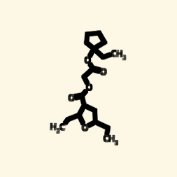 CCC1CC(C(=O)OCC(=O)OC2(CC)CCCC2)C(CC)O1